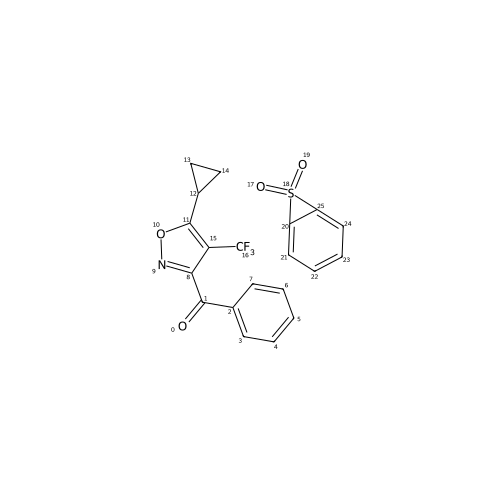 O=C(c1ccccc1)c1noc(C2CC2)c1C(F)(F)F.O=S1(=O)c2ccccc21